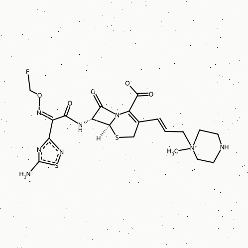 C[N+]1(C/C=C/C2=C(C(=O)[O-])N3C(=O)[C@@H](NC(=O)/C(=N\OCF)c4nsc(N)n4)[C@@H]3SC2)CCNCC1